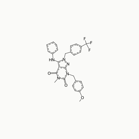 COc1ccc(Cn2c(=O)n(C)c(=O)c3c(Nc4ccccc4)n(Cc4ccc(C(F)(F)F)cc4)nc32)cc1